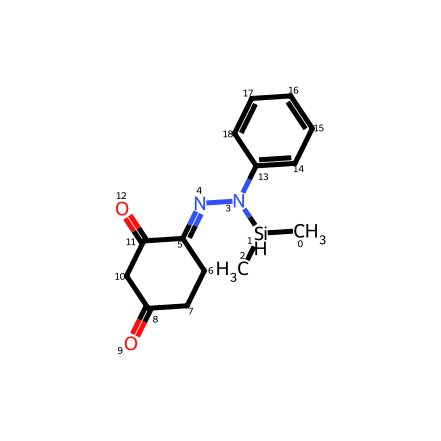 C[SiH](C)N(N=C1CCC(=O)CC1=O)c1ccccc1